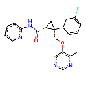 Cc1ncc(OC[C@@]2(C3C=CC=C(F)C3)C[C@H]2C(=O)Nc2ccccn2)c(C)n1